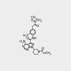 C=CC(=O)N1CCC[C@@H](n2nc(C(=O)Nc3ccc(CC(=O)N(C)OC)cc3C)c3c(N)ncnc32)C1